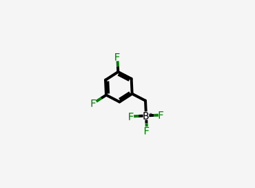 Fc1cc(F)cc(C[B-](F)(F)F)c1